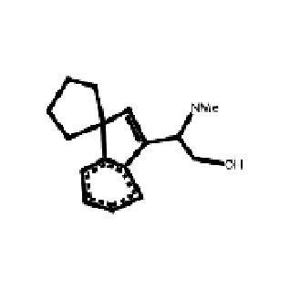 CNC(CO)C1=CC2(CCCC2)c2ccccc21